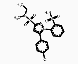 CCN(C)S(=O)(=O)c1cc(-c2ccc(Cl)cc2)n(-c2ccccc2S(N)(=O)=O)n1